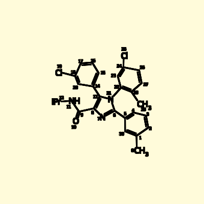 Cc1cccc(-c2nc(C(=O)NC(C)C)c(-c3cccc(Cl)c3)n2-c2cc(Cl)ccc2C)c1